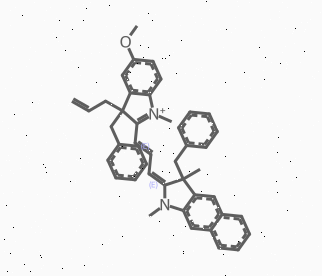 C=CCC1(Cc2ccccc2)C(/C=C/C=C2/N(C)c3cc4ccccc4cc3C2(C)Cc2ccccc2)=[N+](C)c2ccc(OC)cc21